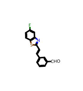 O=Cc1cccc(/C=C/c2nc3cc(F)ccc3s2)c1